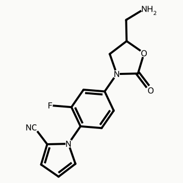 N#Cc1cccn1-c1ccc(N2CC(CN)OC2=O)cc1F